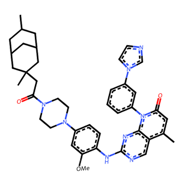 COc1cc(N2CCN(C(=O)CC3(C)CC4CC(C)CC(C4)C3)CC2)ccc1Nc1ncc2c(C)cc(=O)n(-c3cccc(-n4ccnc4)c3)c2n1